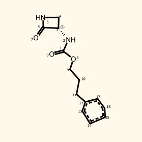 O=C(N[C@H]1CNC1=O)OCCCc1ccccc1